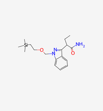 CCC(C(N)=O)c1nn(COCC[Si](C)(C)C)c2ccccc12